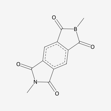 CB1C(=O)c2cc3c(cc2C1=O)C(=O)N(C)C3=O